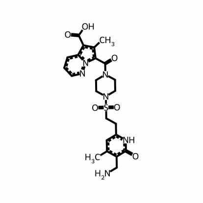 Cc1cc(CCS(=O)(=O)N2CCN(C(=O)c3c(C)c(C(=O)O)c4cccnn34)CC2)[nH]c(=O)c1CN